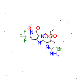 CCS(=O)(=O)c1cc(Br)c(N)nc1-c1nc2cc(C(F)(F)F)n(OC)c(=O)c2n1C